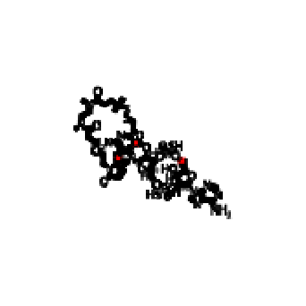 CN(CCN(C)C(=O)CCC(C)(C)SSCCOC(=O)O[C@@H]1[C@@H]2O[P@](=O)(S)OC[C@H]3O[C@@H](n4cnc5c(N)ncnc54)[C@H](O[P@](=O)(S)OC[C@H]2O[C@H]1n1cnc2c(N)ncnc21)[C@@H]3O)C(=O)CCOCCN1C(=O)C=CC1=O